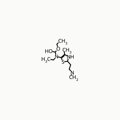 C=NCCC1NC(C)=C(N(CC)C(O)OCC)S1